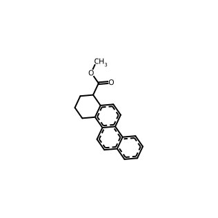 COC(=O)C1CCCc2c1ccc1c2ccc2ccccc21